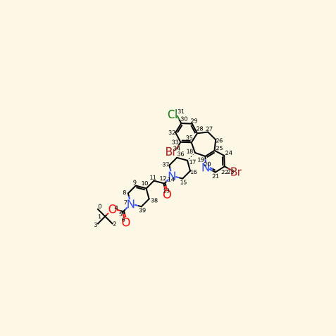 CC(C)(C)OC(=O)N1CC=C(CC(=O)N2CCC([C@H]3c4ncc(Br)cc4CCc4cc(Cl)cc(Br)c43)CC2)CC1